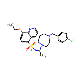 CCOc1ccc(S(=O)(=O)NC(C)N2CCCN(Cc3ccc(Cl)cc3)CC2)c2cccnc12